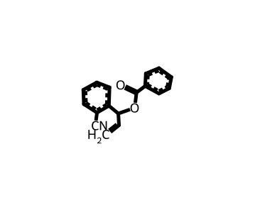 C=CC(OC(=O)c1ccccc1)c1ccccc1C#N